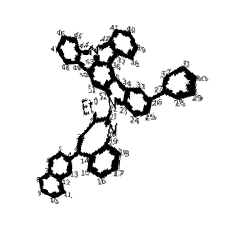 CCC1C=C(c2ccc3ccccc3c2)c2ccccc2N=C1n1c2ccc(-c3ccccc3)cc2c2c3c4ccccc4n4c5ccccc5c(cc21)c34